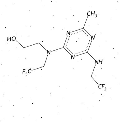 Cc1nc(NCC(F)(F)F)nc(N(CCO)CC(F)(F)F)n1